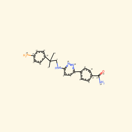 CC(C)(CNc1ccc(-c2ccc(C(N)=O)cc2)nn1)c1ccc(P)cc1